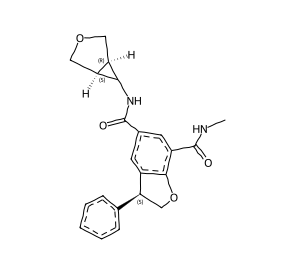 CNC(=O)c1cc(C(=O)NC2[C@H]3COC[C@@H]23)cc2c1OC[C@H]2c1ccccc1